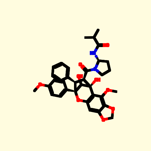 COc1ccc([C@@]23Oc4cc5c(c(OC)c4[C@@](O)(C2O)[C@H](C(=O)N2CCC[C@H]2NC(=O)C(C)C)[C@H]3c2ccccc2)OCO5)cc1